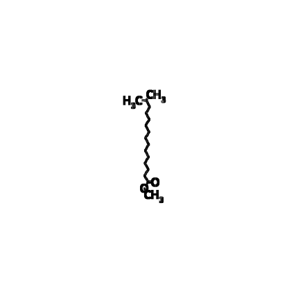 COC(=O)CCCCCCCCCCCCC(C)C